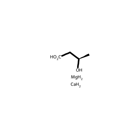 C[C@@H](O)CC(=O)O.[CaH2].[MgH2]